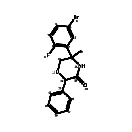 CC1(c2cc(Br)ccc2F)COC(c2ccccc2)C(=O)N1